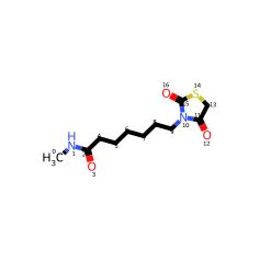 CNC(=O)CCCCCCN1C(=O)CSC1=O